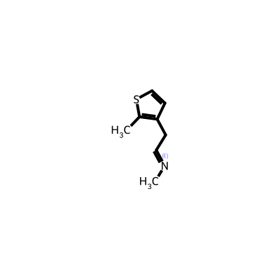 C/N=C/Cc1ccsc1C